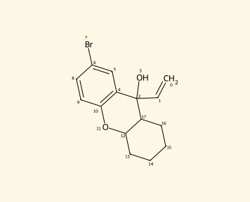 C=CC1(O)c2cc(Br)ccc2OC2CCCCC21